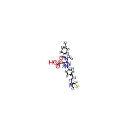 CC(C)N(c1nn(-c2ccc(/C=C/c3cscn3)cc2)cc1OC(=O)O)C(=O)[C@H]1CC[C@H](C)CC1